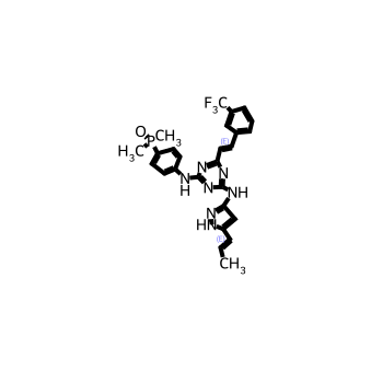 C/C=C/c1cc(Nc2nc(/C=C/c3cccc(C(F)(F)F)c3)nc(Nc3ccc(P(C)(C)=O)cc3)n2)n[nH]1